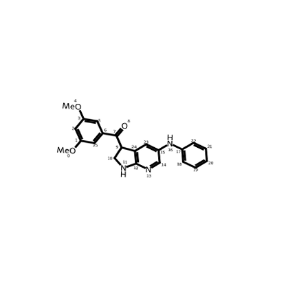 COc1cc(OC)cc(C(=O)C2CNc3ncc(Nc4ccccc4)cc32)c1